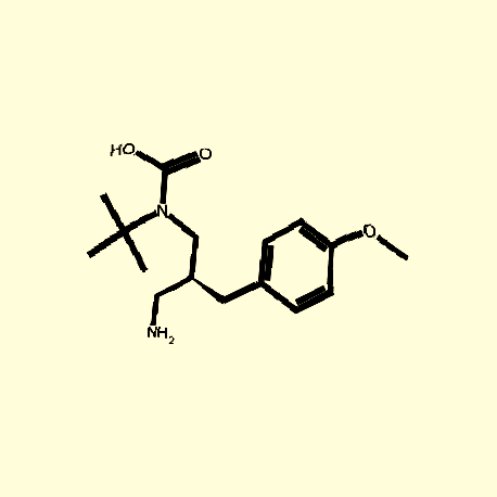 COc1ccc(C[C@@H](CN)CN(C(=O)O)C(C)(C)C)cc1